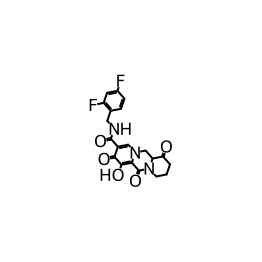 O=C(NCc1ccc(F)cc1F)c1cn2c(c(O)c1=O)C(=O)N1CCCC(=O)C1C2